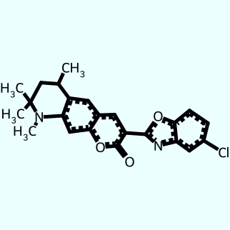 CC1CC(C)(C)N(C)c2cc3oc(=O)c(-c4nc5cc(Cl)ccc5o4)cc3cc21